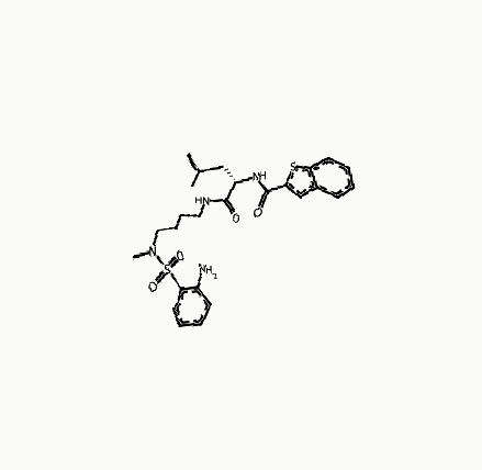 CC(C)C[C@H](NC(=O)c1cc2ccccc2s1)C(=O)NCCCCN(C)S(=O)(=O)c1ccccc1N